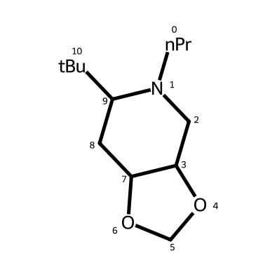 CCCN1CC2OCOC2CC1C(C)(C)C